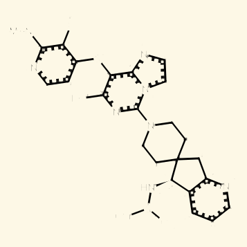 CNc1nccc(Sc2c(C)nc(N3CCC4(CC3)Cc3ncccc3[C@H]4N[S+]([O-])C(C)(C)C)n3ccnc23)c1Cl